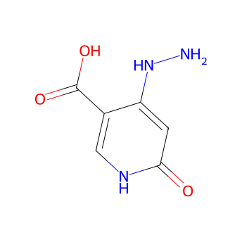 NNc1cc(=O)[nH]cc1C(=O)O